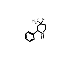 CC1(F)CCNC(c2ccccc2)C1